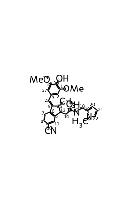 COc1cc(C=C2c3ccc(C#N)cc3C(CC(=O)NCc3cccn3C)C2C)cc(OC)c1O